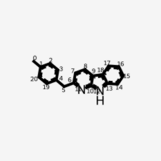 Cc1ccc(Cc2ccc3c(n2)[nH]c2ccccc23)cc1